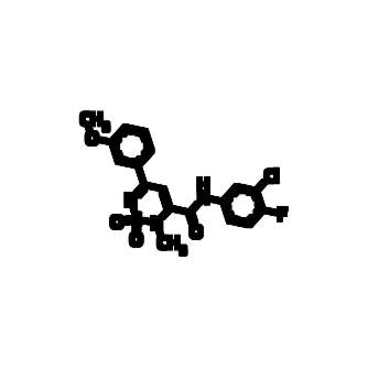 COc1cccc(C2=NS(=O)(=O)N(C)C(C(=O)Nc3ccc(F)c(Cl)c3)=C2)c1